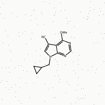 COc1ncnc2c1c(C#N)cn2CC1CC1